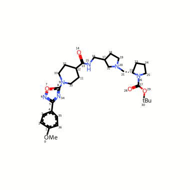 COc1ccc(-c2noc(N3CCC(C(=O)NCC4CCN(C[C@@H]5CCCN5C(=O)OC(C)(C)C)C4)CC3)n2)cc1